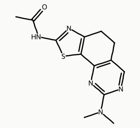 CC(=O)Nc1nc2c(s1)-c1nc(N(C)C)ncc1CC2